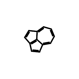 [c]1cc2ccc3ccccc1c23